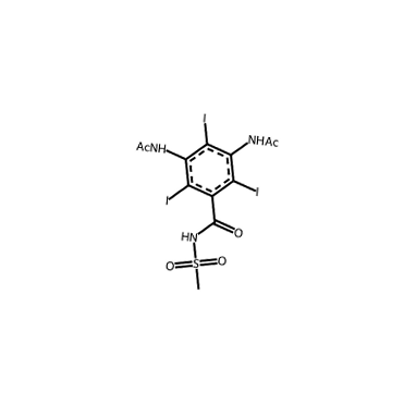 CC(=O)Nc1c(I)c(NC(C)=O)c(I)c(C(=O)NS(C)(=O)=O)c1I